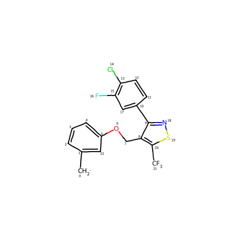 [CH2]c1cccc(OCc2c(-c3ccc(Cl)c(F)c3)nsc2C(F)(F)F)c1